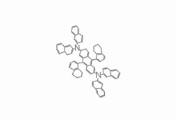 C1=CC2=CC(N(c3ccc4ccccc4c3)C3C=c4c(-c5cccc6c5CCCC6)c5ccc(N(c6ccc7ccccc7c6)c6ccc7ccccc7c6)cc5c(-c5cccc6c5CCCC6)c4=CC3)=CCC2C=C1